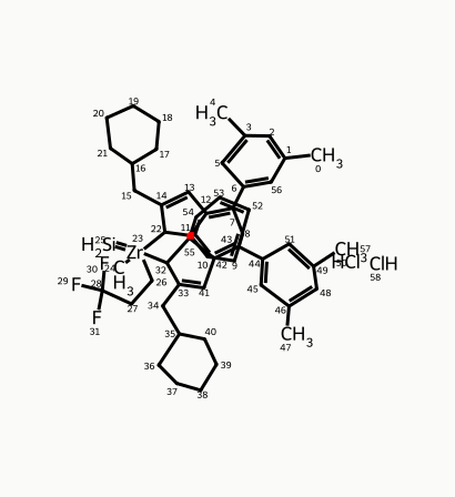 Cc1cc(C)cc(-c2cccc3c2C=C(CC2CCCCC2)[CH]3[Zr]([CH3])(=[SiH2])([CH2]CC(F)(F)F)[CH]2C(CC3CCCCC3)=Cc3c(-c4cc(C)cc(C)c4)cccc32)c1.Cl.Cl